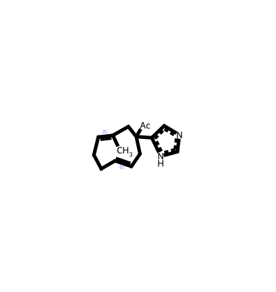 CC(=O)C1(c2cnc[nH]2)C/C=C/CC/C=C(\C)C1